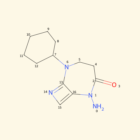 NN1C(=O)CCN(C2CCCCC2)C2=NC=C21